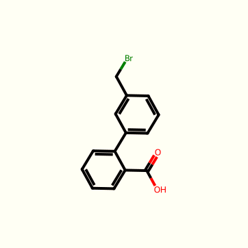 O=C(O)c1ccccc1-c1cccc(CBr)c1